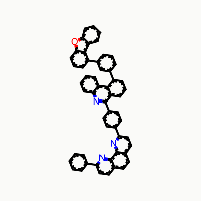 c1ccc(-c2ccc3ccc4ccc(-c5ccc(-c6nc7ccccc7c7c(-c8cccc(-c9cccc%10oc%11ccccc%11c9%10)c8)cccc67)cc5)nc4c3n2)cc1